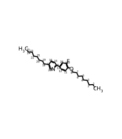 CCCCCCCCCOc1ccc(-c2ccc(CCCCCCCC)cn2)cc1F